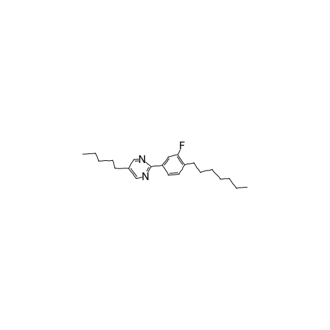 CCCCCCCc1ccc(-c2ncc(CCCCC)cn2)cc1F